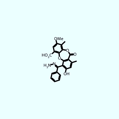 COc1cc(C(=O)O)c2c(c1C)OC(=O)c1c(C)cc(O)c(C(=NN)c3ccccc3)c1O2